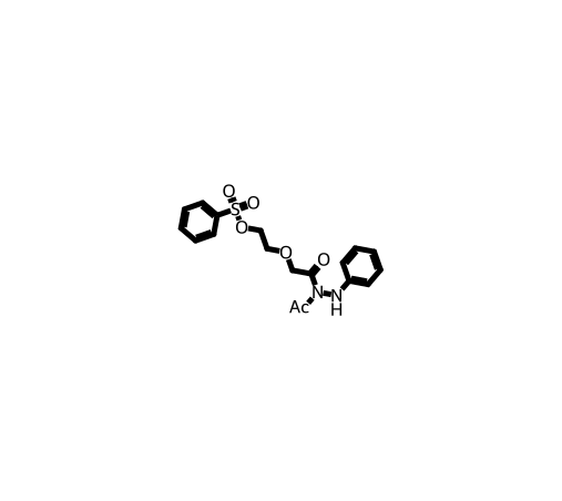 CC(=O)N(Nc1ccccc1)C(=O)COCCOS(=O)(=O)c1ccccc1